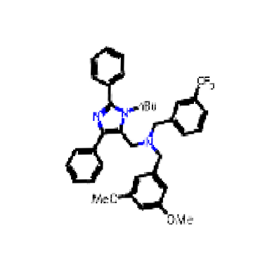 CCCCn1c(-c2ccccc2)nc(-c2ccccc2)c1CN(Cc1cc(OC)cc(OC)c1)Cc1cccc(C(F)(F)F)c1